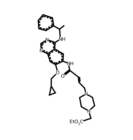 CCOC(=O)CN1CCN(CC=CC(=O)Nc2cc3c(NC(C)c4ccccc4)ncnc3cc2OCC2CC2)CC1